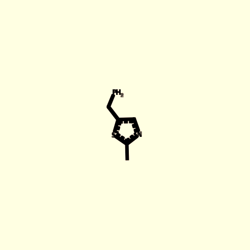 Cc1ncc(CP)s1